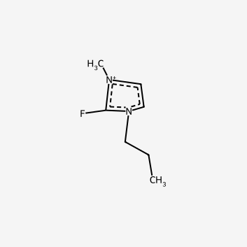 CCCn1cc[n+](C)c1F